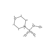 O=S(=O)(OCl)N1CCOCC1